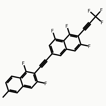 Cc1ccc2c(F)c(C#Cc3cc(F)c4c(F)c(C#CC(F)(F)F)c(F)cc4c3)c(F)cc2c1